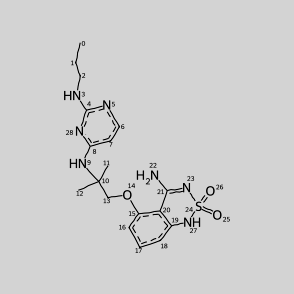 CCCNc1nccc(NC(C)(C)COc2cccc3c2C(N)=NS(=O)(=O)N3)n1